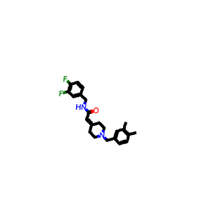 Cc1ccc(CN2CCC(=CC(=O)NCc3ccc(F)c(F)c3)CC2)cc1C